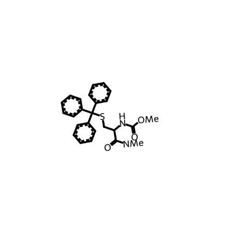 CNC(=O)C(CSC(c1ccccc1)(c1ccccc1)c1ccccc1)NC(=O)OC